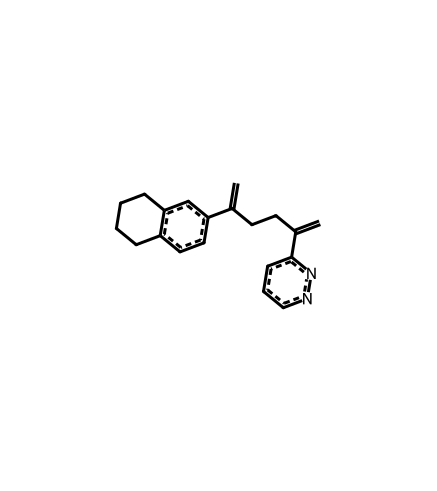 C=C(CCC(=C)c1cccnn1)c1ccc2c(c1)CCCC2